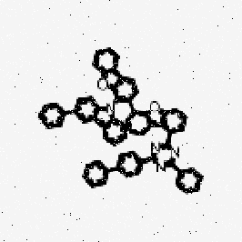 c1ccc(-c2ccc(-c3nc(-c4ccccc4)nc(-c4cccc5oc6c(-c7ccc8c(oc9ccccc98)c7-n7c8ccccc8c8cc(-c9ccccc9)ccc87)cccc6c45)n3)cc2)cc1